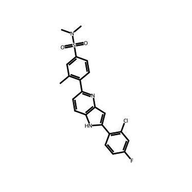 Cc1cc(S(=O)(=O)N(C)C)ccc1-c1ccc2[nH]c(-c3ccc(F)cc3Cl)cc2n1